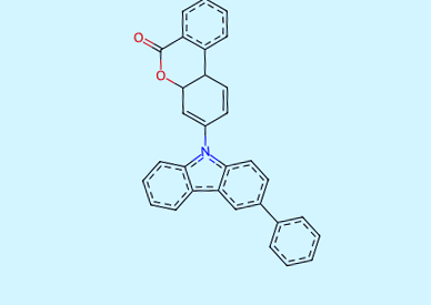 O=C1OC2C=C(n3c4ccccc4c4cc(-c5ccccc5)ccc43)C=CC2c2ccccc21